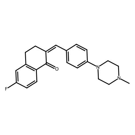 CN1CCN(c2ccc(C=C3CCc4cc(F)ccc4C3=O)cc2)CC1